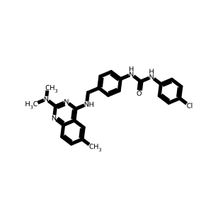 Cc1ccc2nc(N(C)C)nc(NCc3ccc(NC(=O)Nc4ccc(Cl)cc4)cc3)c2c1